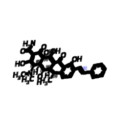 C[C@@H]1c2ccc(/C=C/c3ccccc3)c(O)c2C(=O)C2=C(O)[C@@]3(O)C(=O)C(C(N)=O)=C(O)[C@H](N(C)C)[C@@H]3[C@@H](O)[C@@H]21